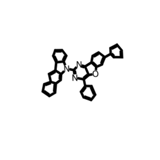 c1ccc(-c2ccc3c(c2)oc2c(-c4ccccc4)nc(-n4c5ccccc5c5cc6ccccc6cc54)nc23)cc1